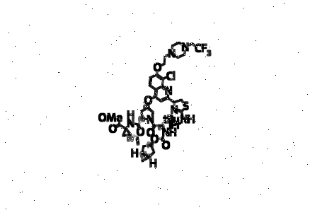 C=C[C@@H]1CC1(NC(=O)[C@@H]1C[C@@H](Oc2cc(C3CSC(NC(C)C)=N3)nc3c(Cl)c(OCCN4CCN(CC(F)(F)F)CC4)ccc23)CN1C(=O)[C@@H](NC(=O)O[C@@H]1C[C@@H]2C[C@@H]2C1)C(C)(C)C)C(=O)OC